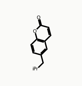 CC(C)Cc1ccc2oc(=O)ccc2c1